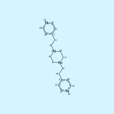 c1cc(CCN2CCN(CCc3ccncc3)CC2)ccn1